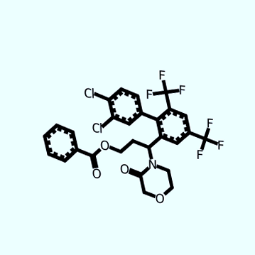 O=C(OCCC(c1cc(C(F)(F)F)cc(C(F)(F)F)c1-c1ccc(Cl)c(Cl)c1)N1CCOCC1=O)c1ccccc1